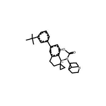 CC(C)(C)c1cccc(-c2ccc3c(c2)CCC2(CC2)[C@@H]3N(C(=O)O)C2CN3CCC2CC3)c1